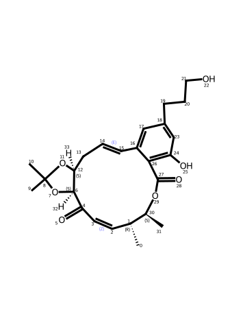 C[C@@H]1/C=C\C(=O)[C@H]2OC(C)(C)O[C@H]2C/C=C/c2cc(CCCO)cc(O)c2C(=O)O[C@H]1C